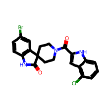 O=C(c1cc2c(Cl)cccc2[nH]1)N1CCC2(CC1)C(=O)Nc1ccc(Br)cc12